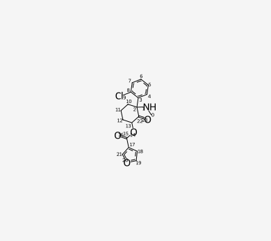 CNC1(c2ccccc2Cl)CCCC(OC(=O)c2ccoc2)C1=O